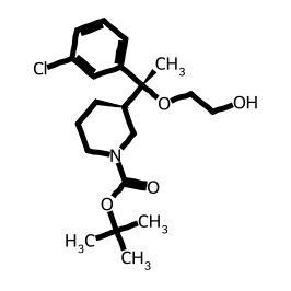 CC(C)(C)OC(=O)N1CCC[C@@H]([C@@](C)(OCCO)c2cccc(Cl)c2)C1